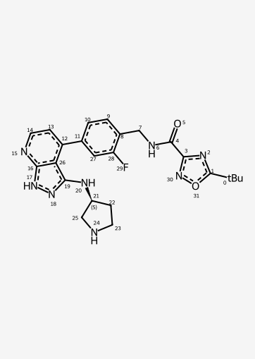 CC(C)(C)c1nc(C(=O)NCc2ccc(-c3ccnc4[nH]nc(N[C@H]5CCNC5)c34)cc2F)no1